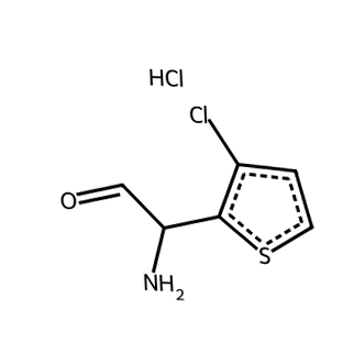 Cl.NC(C=O)c1sccc1Cl